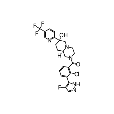 O=C(c1cccc(-c2[nH]ncc2F)c1Cl)N1CCN2C[C@@](O)(c3ccc(C(F)(F)F)cn3)CC[C@@H]2C1